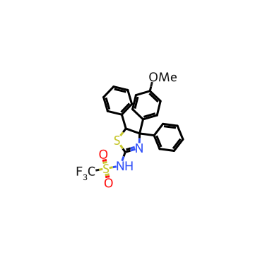 COc1ccc(C2(c3ccccc3)N=C(NS(=O)(=O)C(F)(F)F)SC2c2ccccc2)cc1